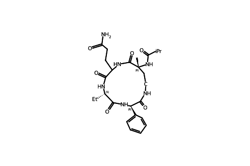 CC[C@@H]1NC(=O)C(CCC(N)=O)NC(=O)[C@](C)(NC(=O)C(C)C)CCNC(=O)[C@@H](c2ccccc2)NC1=O